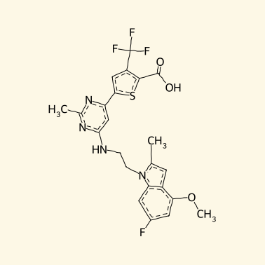 COc1cc(F)cc2c1cc(C)n2CCNc1cc(-c2cc(C(F)(F)F)c(C(=O)O)s2)nc(C)n1